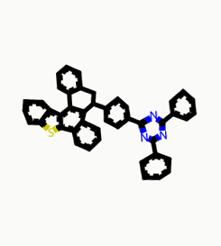 c1ccc(-c2nc(-c3ccccc3)nc(-c3ccc(C4Cc5ccccc5-c5c4c4ccccc4c4sc6ccccc6c54)cc3)n2)cc1